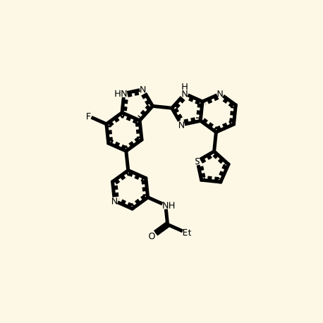 CCC(=O)Nc1cncc(-c2cc(F)c3[nH]nc(-c4nc5c(-c6cccs6)ccnc5[nH]4)c3c2)c1